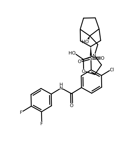 O=C(Nc1ccc(F)c(F)c1)c1ccc(Cl)c(S(=O)(=O)[C@H]2CC3CCC(C2)[C@]3(O)CN2CCOC2O)c1